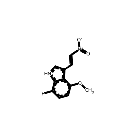 COc1ccc(F)c2[nH]cc(C=C[N+](=O)[O-])c12